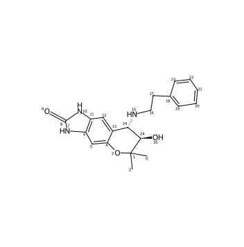 CC1(C)Oc2cc3[nH]c(=O)[nH]c3cc2[C@H](NCCc2ccccc2)[C@H]1O